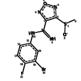 C[S+]([O-])c1nonc1C(=N)Nc1ccc(F)c(Br)c1